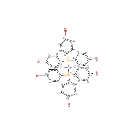 [Cl][Pd]([Cl])([PH](c1ccc(Br)cc1)(c1ccc(Br)cc1)c1ccc(Br)cc1)[PH](c1ccc(Br)cc1)(c1ccc(Br)cc1)c1ccc(Br)cc1